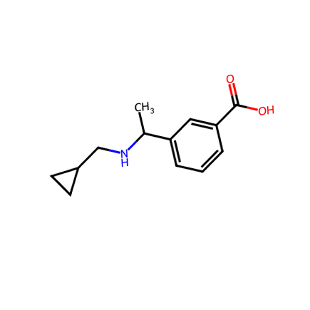 CC(NCC1CC1)c1cccc(C(=O)O)c1